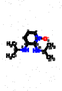 CC(C)Nc1ccc[n+]([O-])c1NC(C)C